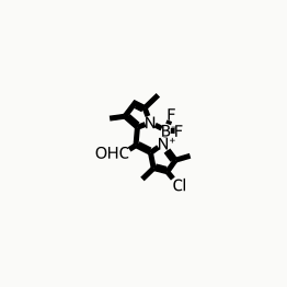 CC1=C(Cl)C(C)=[N+]2C1=C(C=O)c1c(C)cc(C)n1[B-]2(F)F